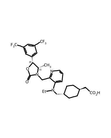 CCN(C[C@H]1CC[C@H](CC(=O)O)CC1)c1cccnc1CN1C(=O)O[C@H](c2cc(C(F)(F)F)cc(C(F)(F)F)c2)[C@@H]1C